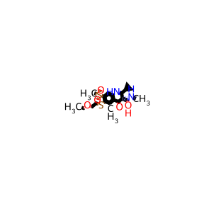 CCOCCSc1c(S(C)(=O)=O)ccc(C(=O)/C(C(=N)C2CC2)=C(\O)NC)c1C